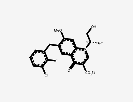 CCOC(=O)c1cn([C@H](CO)C(C)C)c2cc(OC)c(Cc3cccc(Cl)c3F)cc2c1=O